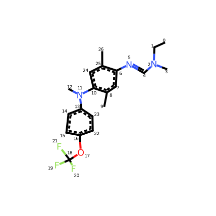 CCN(C)C=Nc1cc(C)c(N(C)c2ccc(OC(F)(F)F)cc2)cc1C